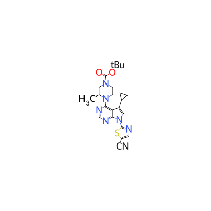 C[C@H]1CN(C(=O)OC(C)(C)C)CCN1c1ncnc2c1c(C1CC1)cn2-c1ncc(C#N)s1